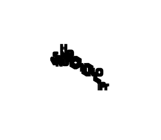 CC(C)CCC(=O)N1CCN(c2ccc(S(=O)(=O)Nc3nccs3)cc2)CC1